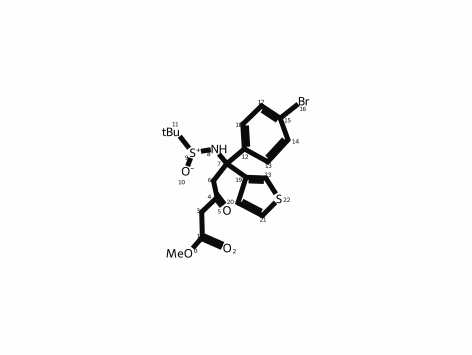 COC(=O)CC(=O)CC(N[S+]([O-])C(C)(C)C)(c1ccc(Br)cc1)c1ccsc1